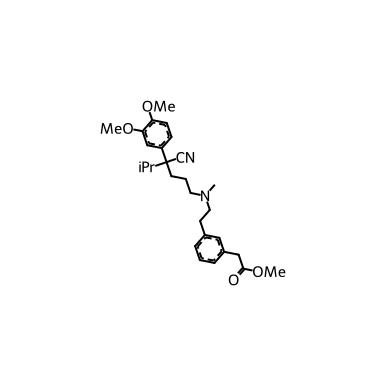 COC(=O)Cc1cccc(CCN(C)CCCC(C#N)(c2ccc(OC)c(OC)c2)C(C)C)c1